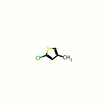 Cc1[c]sc(Cl)c1